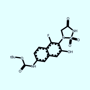 CC(C)(C)OC(=O)Nc1ccc2c(F)c(N3CC(=O)NS3(=O)=O)c(O)cc2c1